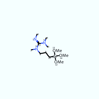 CN=C(N(C)C)N(C)CCC[Si](OC)(OC)OC